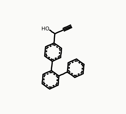 C#CC(O)c1ccc(-c2ccccc2-c2ccccc2)cc1